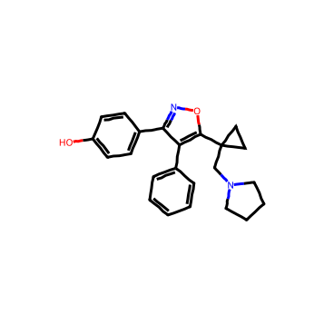 Oc1ccc(-c2noc(C3(CN4CCCC4)CC3)c2-c2ccccc2)cc1